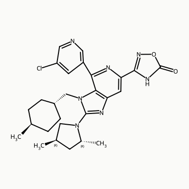 C[C@@H]1C[C@@H](C)N(c2nc3cc(-c4noc(=O)[nH]4)nc(-c4cncc(Cl)c4)c3n2C[C@H]2CC[C@H](C)CC2)C1